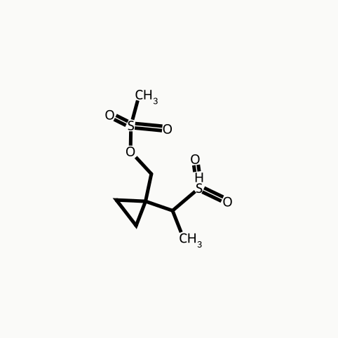 CC([SH](=O)=O)C1(COS(C)(=O)=O)CC1